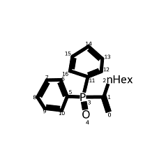 C=C(CCCCCC)P(=O)(c1ccccc1)c1ccccc1